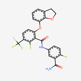 NC(=O)c1cc(NC(=O)c2c(Oc3cccc4c3OCC4)ccc(C(F)(F)F)c2F)ccc1F